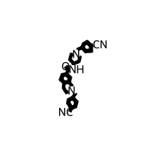 N#Cc1ccc(CN2CCC(NC(=O)c3ccc4c(c3)CN(Cc3ccc(C#N)cc3)CC4)CC2)cc1